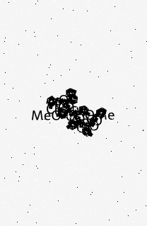 COc1ccc(C(OC(=O)C(OC(=O)Cc2cccc(C(F)(F)F)c2)c2cccc3ccccc23)C(=O)OC(C(=O)OC(C(=O)OC(C(=O)OC(=O)Cc2ccccc2)c2cccc(C)c2)c2ccc(C)cc2)c2cccc(OC)c2)cc1